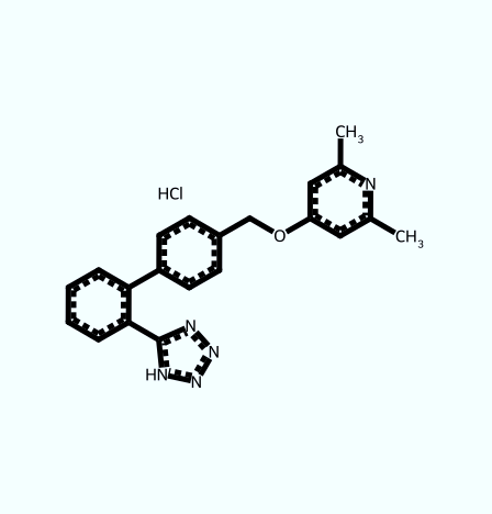 Cc1cc(OCc2ccc(-c3ccccc3-c3nnn[nH]3)cc2)cc(C)n1.Cl